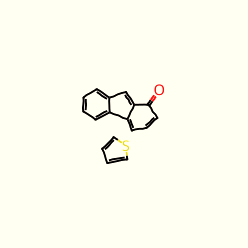 O=C1C=CC=C2C1=Cc1ccccc12.c1ccsc1